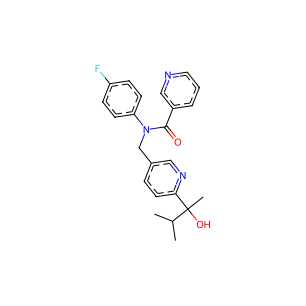 CC(C)C(C)(O)c1ccc(CN(C(=O)c2cccnc2)c2ccc(F)cc2)cn1